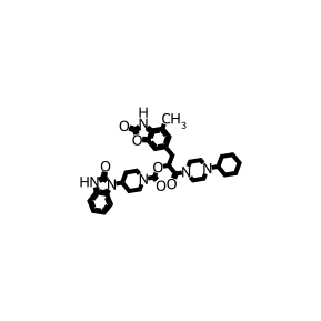 Cc1cc(CC(OC(=O)N2CCC(n3c(=O)[nH]c4ccccc43)CC2)C(=O)N2CCN(C3CCCCC3)CC2)cc2oc(=O)[nH]c12